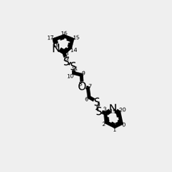 c1ccc(SSCCOCCSSc2ccccn2)nc1